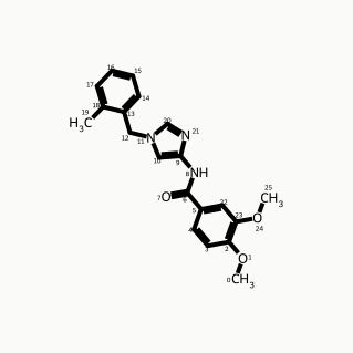 COc1ccc(C(=O)Nc2cn(Cc3ccccc3C)cn2)cc1OC